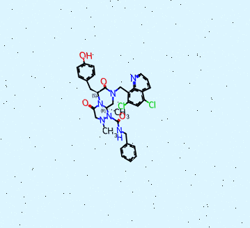 CN1CC(=O)N2[C@@H](Cc3ccc(O)cc3)C(=O)N(Cc3c(Cl)cc(Cl)c4cccnc34)C[C@@]2(C)N1C(=O)NCc1ccccc1